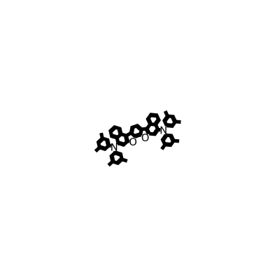 Cc1cc(C)cc(N(c2cc(C)cc(C)c2)c2cc3oc4c(ccc5c4oc4cc(N(c6cc(C)cc(C)c6)c6cc(C)cc(C)c6)c6ccccc6c45)c3c3ccccc23)c1